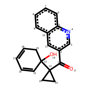 O=C(c1cnc2ccccc2c1)C1(C2(O)C=CC=CC2)CC1